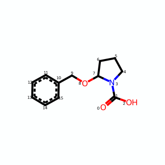 O=C(O)N1CCCC1OCc1ccccc1